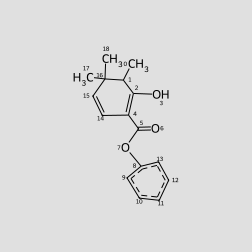 CC1C(O)=C(C(=O)Oc2ccccc2)C=CC1(C)C